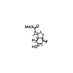 COC(=O)C1CC12CCc1c(F)cc(O)c(F)c12